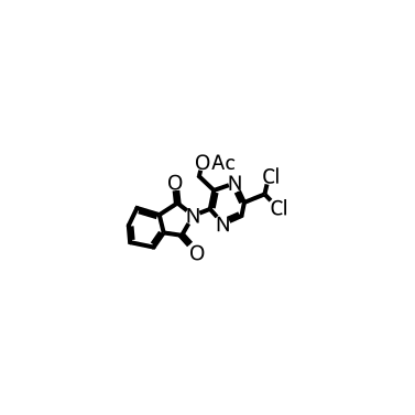 CC(=O)OCc1nc(C(Cl)Cl)cnc1N1C(=O)c2ccccc2C1=O